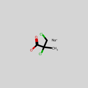 CC(Cl)(CCl)C(=O)[O-].[Na+]